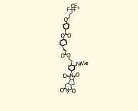 CNc1cc(N2C(=O)C3CC4C(=O)N(C)C(=O)CC4C3C2=O)ccc1CCOC(=O)/C=C/c1ccc(OC(=O)c2ccc(OCCCC(F)(F)C(F)(F)F)cc2)cc1